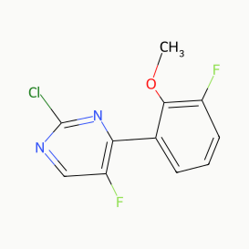 COc1c(F)cccc1-c1nc(Cl)ncc1F